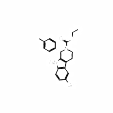 CCOC(=O)N1CCc2c([nH]c3ccc(Br)cc23)[C@@H]1c1ccc(C)cc1